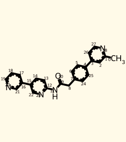 Cc1cc(-c2ccc(CC(=O)Nc3ccc(-c4cccnc4)cn3)cc2)ccn1